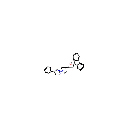 CCC[N+]1(CC#CCC2(O)c3ccccc3-c3ccccc32)CCC(c2ccccc2)C1